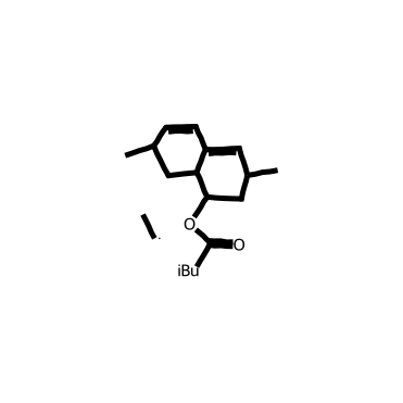 CCC(C)C(=O)OC1CC(C)C=C2C=CC(C)CC21.[CH2]C